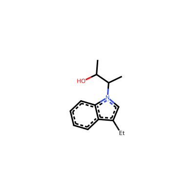 CCc1cn(C(C)C(C)O)c2ccccc12